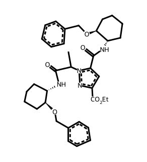 CCOC(=O)c1cc(C(=O)N[C@H]2CCCC[C@@H]2OCc2ccccc2)n(C(C)C(=O)N[C@H]2CCCC[C@@H]2OCc2ccccc2)n1